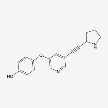 Oc1ccc(Oc2cncc(C#CC3CCCN3)c2)cc1